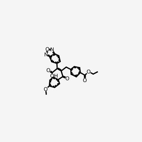 CCOC(=O)c1ccc(CC(C(=O)c2ccc(OC)cc2)=C(C(=O)O)c2ccc3nonc3c2)cc1